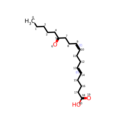 CCCCCC(=O)CC/C=C\CC/C=C/CCCC(=O)O